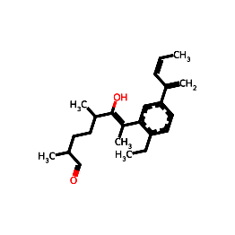 C=C(/C=C\C)c1ccc(CC)c(/C(C)=C(\O)C(C)CCC(C)C=O)c1